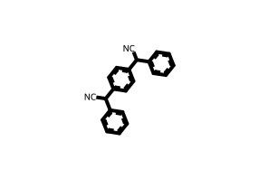 N#CC(c1ccccc1)c1ccc(C(C#N)c2ccccc2)cc1